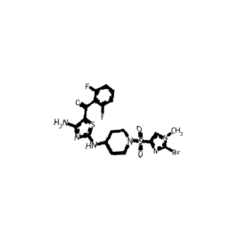 Cn1cc(S(=O)(=O)N2CCC(Nc3nc(N)c(C(=O)c4c(F)cccc4F)s3)CC2)nc1Br